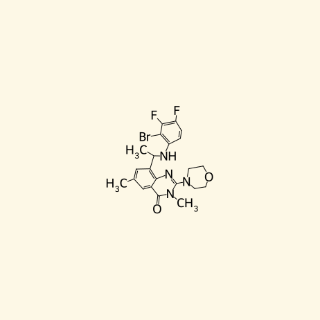 Cc1cc(C(C)Nc2ccc(F)c(F)c2Br)c2nc(N3CCOCC3)n(C)c(=O)c2c1